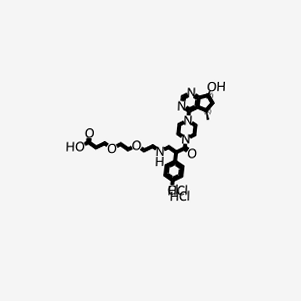 C[C@@H]1C[C@@H](O)c2ncnc(N3CCN(C(=O)C(CNCCOCCOCCC(=O)O)c4ccc(Cl)cc4)CC3)c21.Cl.Cl